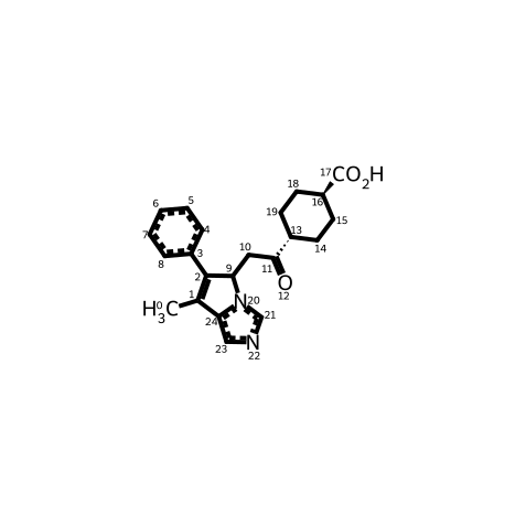 CC1=C(c2ccccc2)C(CC(=O)[C@H]2CC[C@H](C(=O)O)CC2)n2cncc21